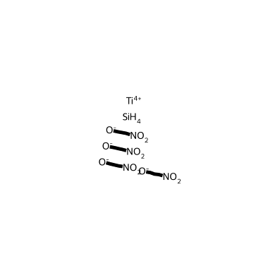 O=[N+]([O-])[O-].O=[N+]([O-])[O-].O=[N+]([O-])[O-].O=[N+]([O-])[O-].[SiH4].[Ti+4]